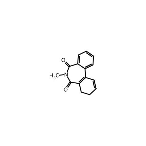 Cn1c(=O)c2c(c3ccccc3c1=O)C=CCC2